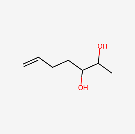 C=CCCC(O)C(C)O